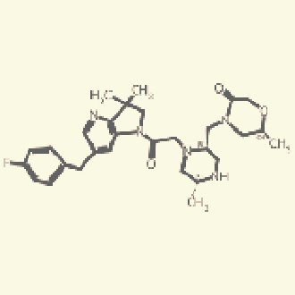 C[C@@H]1CN(CC(=O)N2CC(C)(C)c3ncc(Cc4ccc(F)cc4)cc32)[C@@H](CN2C[C@H](C)OCC2=O)CN1